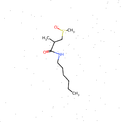 CCCCCCNC(=O)C(C)C[S+](C)[O-]